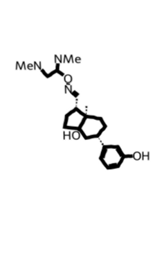 CNCC(NC)ON=C[C@H]1CC[C@]2(O)C[C@@H](c3cccc(O)c3)CC[C@]12C